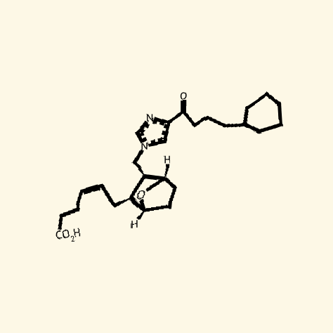 O=C(O)CC/C=C\C[C@H]1[C@@H](Cn2cnc(C(=O)CCCC3CCCCC3)c2)[C@@H]2CC[C@H]1O2